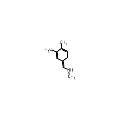 CN/C=C1/C=C(C)C(C)=CC1